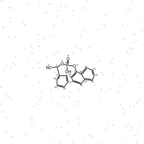 N#CC(OP(=O)(O)Oc1cccc2ccccc12)c1ccccc1